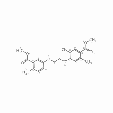 COC(=O)c1cc(OCCOc2cc(C)c(C(=O)OC)cc2Cl)ccc1C